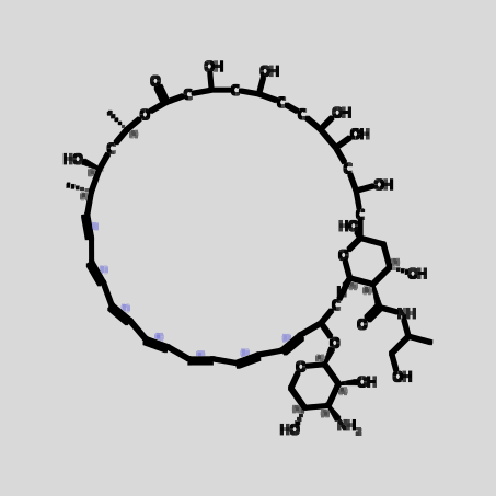 CC(CO)NC(=O)[C@H]1[C@@H]2CC(O[C@@H]3OC[C@@H](O)[C@H](N)[C@@H]3O)/C=C/C=C/C=C/C=C/C=C/C=C/C=C/[C@H](C)[C@@H](O)C[C@H](C)OC(=O)CC(O)CC(O)CCC(O)C(O)CC(O)CC(O)(C[C@@H]1O)O2